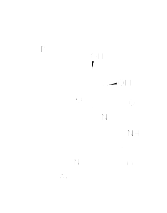 C=P(C)(C)CC[C@H]1O[C@@H](n2cc(CN(C)C(C)=O)c(=O)[nH]c2=O)[C@H](O)[C@@H]1O